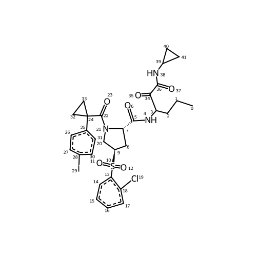 CCCC(NC(=O)[C@@H]1C[C@@H](S(=O)(=O)c2ccccc2Cl)CN1C(=O)C1(c2ccc(I)cc2)CC1)C(=O)C(=O)NC1CC1